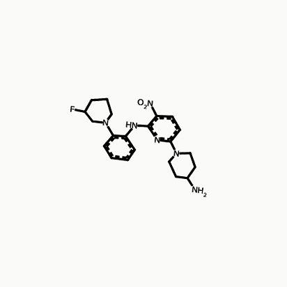 NC1CCN(c2ccc([N+](=O)[O-])c(Nc3ccccc3N3CCCC(F)C3)n2)CC1